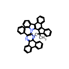 CC1(C)c2ccccc2-c2c1c1c(c3ccccc23)c2ccccc2n1-c1nc2c3ccccc3c3ccccc3c2nc1-c1ccccc1